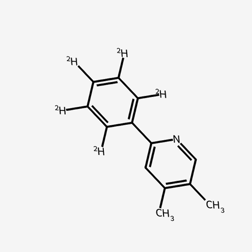 [2H]c1c([2H])c([2H])c(-c2cc(C)c(C)cn2)c([2H])c1[2H]